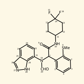 CSc1ccccc1C(C(=O)NC1CCC(F)(F)CC1)N(C=O)c1cccc2cn[nH]c12